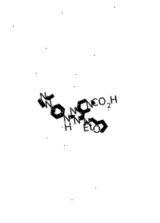 CCN(CC1CCCO1)c1nc(Nc2ccc(-n3ccnc3C)cc2)nc2c1CN(C(=O)O)CC2